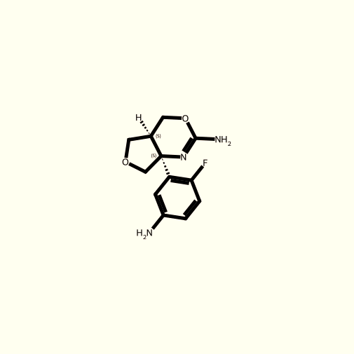 NC1=N[C@@]2(c3cc(N)ccc3F)COC[C@H]2CO1